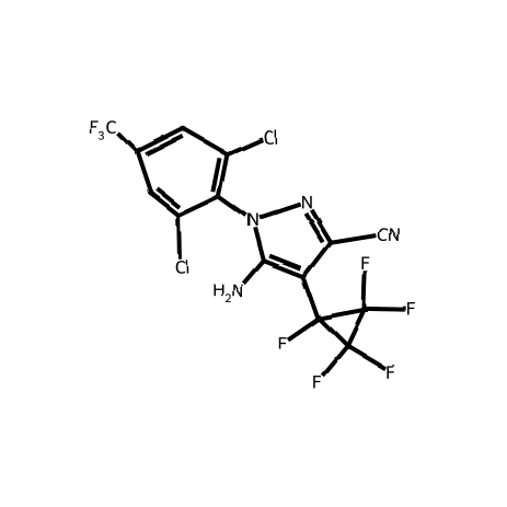 N#Cc1nn(-c2c(Cl)cc(C(F)(F)F)cc2Cl)c(N)c1C1(F)C(F)(F)C1(F)F